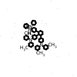 Cc1cccc(N(c2ccc(-c3cccc(C4=CCC(Nc5ccccc5)(Nc5ccccc5)C=C4)c3-c3ccc(N(c4cccc(C)c4)c4cccc(C)c4)cc3)cc2)c2cccc(C)c2)c1